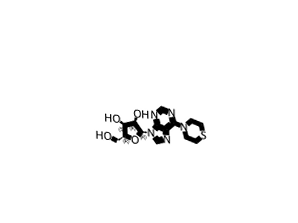 OC[C@H]1O[C@@H](n2cnc3c(N4CCSCC4)ncnc32)[C@H](O)[C@@H]1O